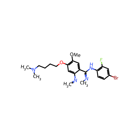 C=Nc1cc(OCCCCN(C)C)c(OC)cc1/C(=N\C)Nc1ccc(Br)cc1F